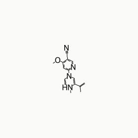 C=CN(/C=C(\NC)C(=C)C)c1cc(OC)c(C#N)cn1